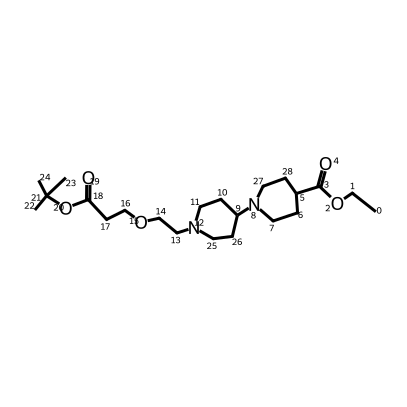 CCOC(=O)C1CCN(C2CCN(CCOCCC(=O)OC(C)(C)C)CC2)CC1